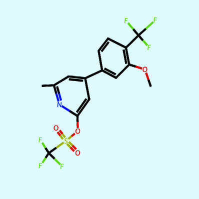 COc1cc(-c2cc(C)nc(OS(=O)(=O)C(F)(F)F)c2)ccc1C(F)(F)F